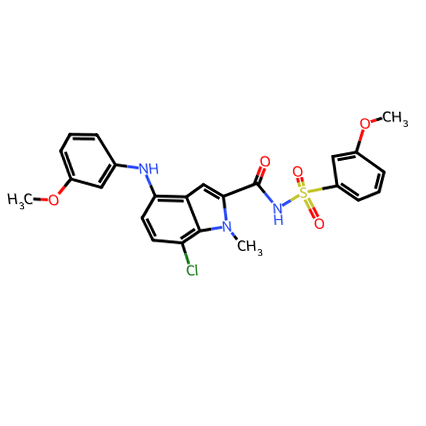 COc1cccc(Nc2ccc(Cl)c3c2cc(C(=O)NS(=O)(=O)c2cccc(OC)c2)n3C)c1